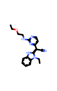 CCOCCNc1nccc(/C(C#N)=C2\Nc3ccccc3N2CC)n1